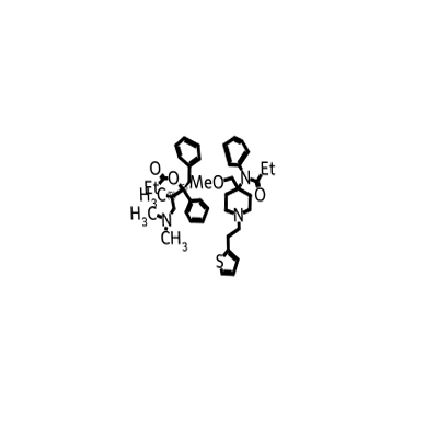 CCC(=O)N(c1ccccc1)C1(COC)CCN(CCc2cccs2)CC1.CCC(=O)O[C@](Cc1ccccc1)(c1ccccc1)[C@H](C)CN(C)C